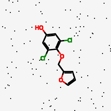 Oc1cc(Cl)c(OCc2ccco2)c(Cl)c1